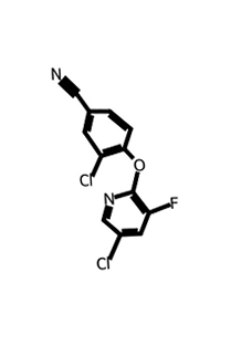 N#Cc1ccc(Oc2ncc(Cl)cc2F)c(Cl)c1